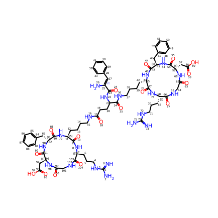 N=C(N)NCCC[C@@H]1NC(=O)[C@H](CCCCNC(=O)CCC(NC(=O)/C(N)=C/c2ccccc2)C(=O)NCCCC[C@@H]2NC(=O)[C@@H](Cc3ccccc3)NC(=O)[C@H](CC(=O)O)NC(=O)CNC(=O)[C@H](CCCNC(=N)N)NC2=O)NC(=O)[C@@H](Cc2ccccc2)NC(=O)[C@H](CC(=O)O)NC(=O)CNC1=O